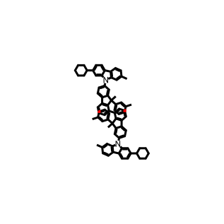 Cc1cccc(C2(C)c3cc(-n4c5cc(C)ccc5c5ccc(C6CCCCC6)cc54)ccc3-c3cccc(-c4cccc5c4C(C)(c4cccc(C)c4)c4cc(-n6c7cc(C)ccc7c7ccc(C8CCCCC8)cc76)ccc4-5)c32)c1